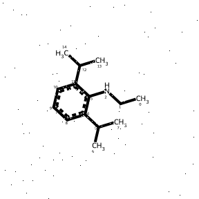 C[CH]Nc1c(C(C)C)cccc1C(C)C